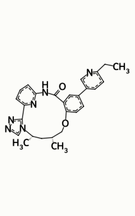 CCc1ccc(-c2ccc3c(c2)C(=O)Nc2cccc(n2)-c2nncn2[C@@H](C)C[C@@H](C)CO3)cn1